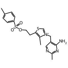 Cc1ccc(S(=O)(=O)OCCc2sc[n+](Cc3cnc(C)nc3N)c2C)cc1